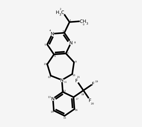 CC(C)c1ncc2c(n1)CCN(c1ncccc1C(F)(F)F)CC2